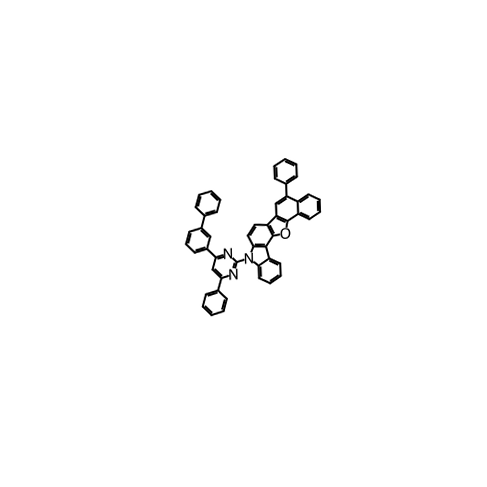 c1ccc(-c2cccc(-c3cc(-c4ccccc4)nc(-n4c5ccccc5c5c6oc7c8ccccc8c(-c8ccccc8)cc7c6ccc54)n3)c2)cc1